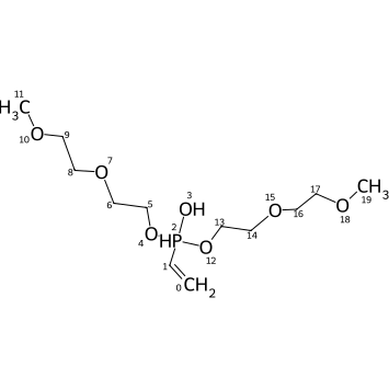 C=C[PH](O)(OCCOCCOC)OCCOCCOC